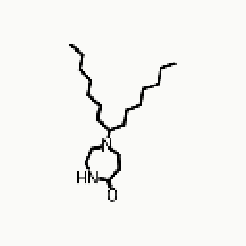 CCCCCCCC(CCCCCCC)N1CCNC(=O)CC1